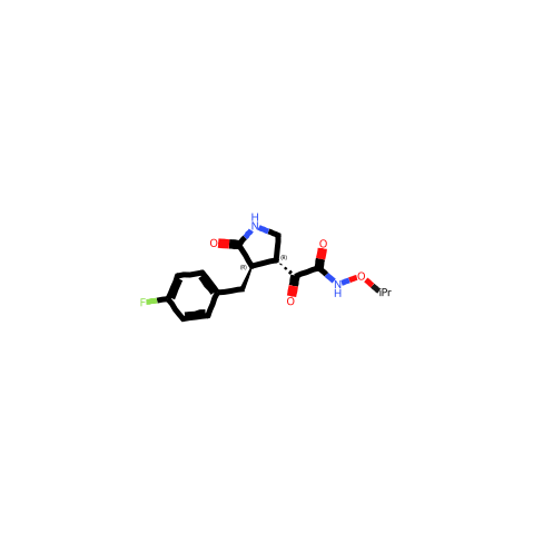 CC(C)ONC(=O)C(=O)[C@H]1CNC(=O)[C@@H]1Cc1ccc(F)cc1